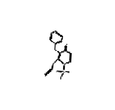 C=CCc1c(Cc2ccccc2)c(=O)ccn1[Si](C)(C)C